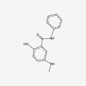 CNc1ccc(O)c(C(=O)Nc2ccccc2)c1